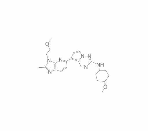 COCCn1c(C)nc2ccc(-c3ccn4nc(N[C@H]5CC[C@H](OC)CC5)ncc34)nc21